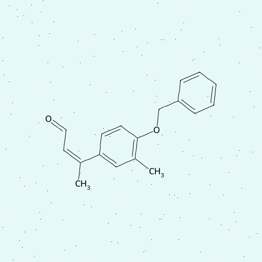 C/C(=C/C=O)c1ccc(OCc2ccccc2)c(C)c1